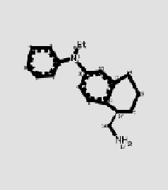 CCN(c1ccccc1)c1ccc2c(c1)CCC[C@H]2CN